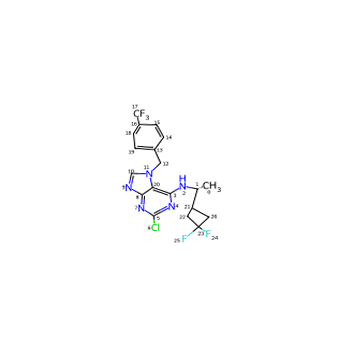 C[C@@H](Nc1nc(Cl)nc2ncn(Cc3ccc(C(F)(F)F)cc3)c12)C1CC(F)(F)C1